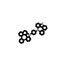 c1ccc(N(c2ccc(-n3c4cccc5c4c4c6c(cccc6ccc43)-c3ccccc3-5)cc2)c2cccc3sc4ccccc4c23)cc1